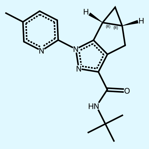 Cc1ccc(-n2nc(C(=O)NC(C)(C)C)c3c2[C@@H]2C[C@@H]2C3)nc1